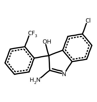 NC1=Nc2ccc(Cl)cc2C1(O)c1ccccc1C(F)(F)F